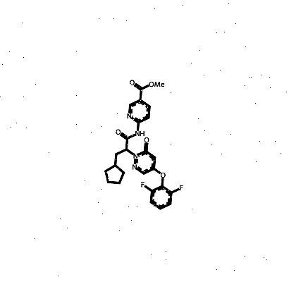 COC(=O)c1ccc(NC(=O)C(CC2CCCC2)n2ncc(Oc3c(F)cccc3F)cc2=O)nc1